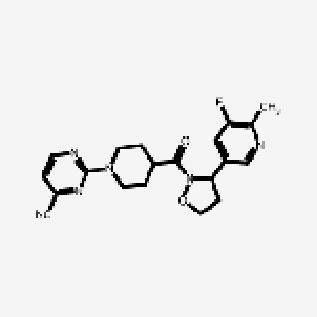 Cc1ncc(C2CCON2C(=O)C2CCN(c3nccc(C#N)n3)CC2)cc1F